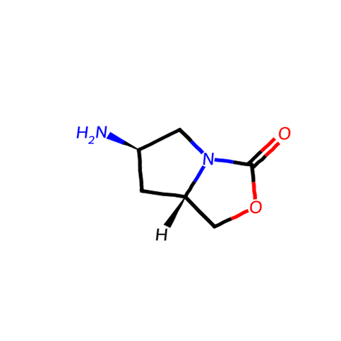 N[C@@H]1C[C@H]2COC(=O)N2C1